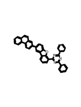 c1ccc(-c2nc(-c3ccccc3)nc(-c3cccc4c3oc3ccc(-c5ccc6c(ccc7ccccc76)c5)cc34)n2)cc1